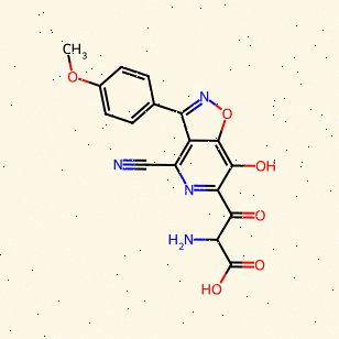 COc1ccc(-c2noc3c(O)c(C(=O)C(N)C(=O)O)nc(C#N)c23)cc1